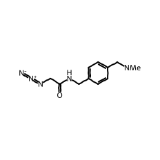 CNCc1ccc(CNC(=O)CN=[N+]=[N-])cc1